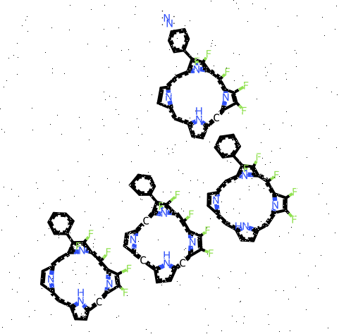 FC1=C(F)c2nc1cc1ccc(cc3nc(cc4c(-c5ccccc5)c(F)c(c2F)n4F)C=C3)[nH]1.FC1=C(F)c2nc1cc1ccc(cc3nc(cc4c(-c5ccccc5)c(F)c(c2F)n4F)C=C3)[nH]1.FC1=C(F)c2nc1cc1ccc(cc3nc(cc4c(-c5ccccc5)c(F)c(c2F)n4F)C=C3)[nH]1.FC1=C(F)c2nc1cc1ccc(cc3nc(cc4c(-c5ccccc5)c(F)c(c2F)n4F)C=C3)[nH]1.[N].[N]